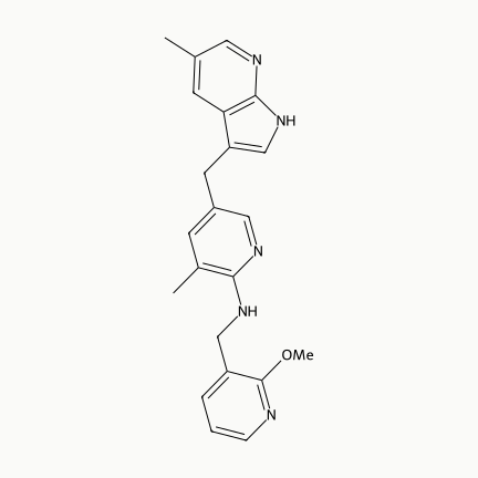 COc1ncccc1CNc1ncc(Cc2c[nH]c3ncc(C)cc23)cc1C